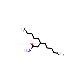 CCCCCC(CCCCC)CC(N)=O